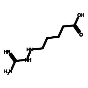 N=C(N)NNCCCCC(=O)O